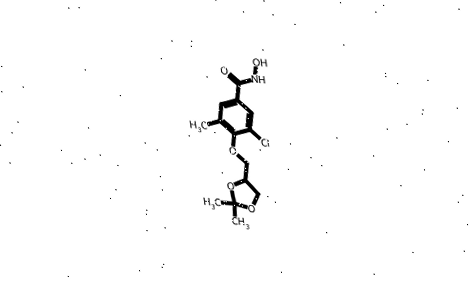 Cc1cc(C(=O)NO)cc(Cl)c1OCC1COC(C)(C)O1